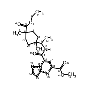 CCOC(=O)C1(C)CCC(C)(C(C)NC(=O)c2cc(C(=O)OC)nc3ccnn23)CC1